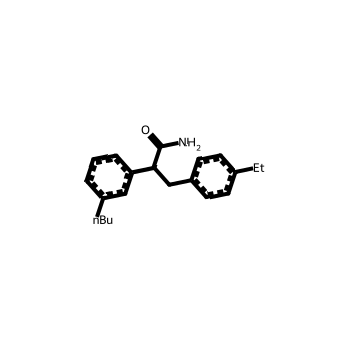 CCCCc1cccc(C(Cc2ccc(CC)cc2)C(N)=O)c1